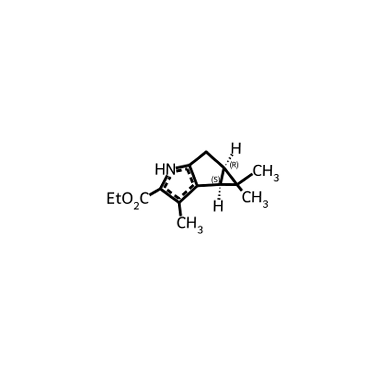 CCOC(=O)c1[nH]c2c(c1C)[C@H]1[C@@H](C2)C1(C)C